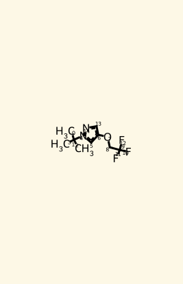 CC(C)(C)n1cc(OCC(F)(F)F)cn1